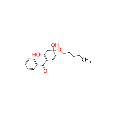 CCCCCOC1(O)C=CC(C(=O)c2ccccc2)=C(O)C1